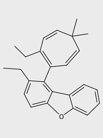 CCC1=C(c2c(CC)ccc3oc4ccccc4c23)C=CC(C)(C)C=C1